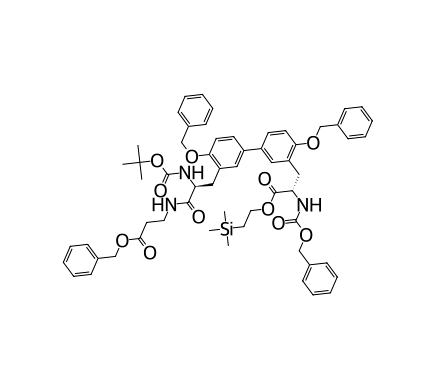 CC(C)(C)OC(=O)N[C@@H](Cc1cc(-c2ccc(OCc3ccccc3)c(C[C@H](NC(=O)OCc3ccccc3)C(=O)OCC[Si](C)(C)C)c2)ccc1OCc1ccccc1)C(=O)NCCC(=O)OCc1ccccc1